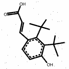 CC(C)(C)c1c(O)ccc(C=CC(=O)O)c1C(C)(C)C